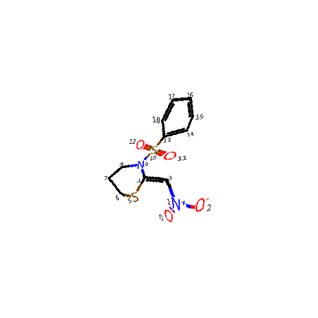 O=[N+]([O-])C=C1SCCCN1S(=O)(=O)c1ccccc1